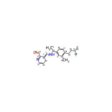 Cc1cc(C(C)N/C=C2\CC=CN=C2C=O)ccc1CCC(F)F